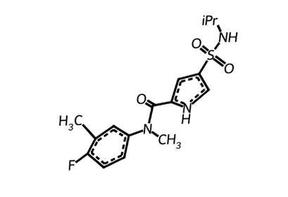 Cc1cc(N(C)C(=O)c2cc(S(=O)(=O)NC(C)C)c[nH]2)ccc1F